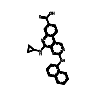 O=C(O)c1ccc2c(c1)nc(NC1CC1)c1nc(Nc3cccc4ccccc34)ncc12